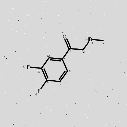 CBCC(=O)c1ccc(F)c(F)c1